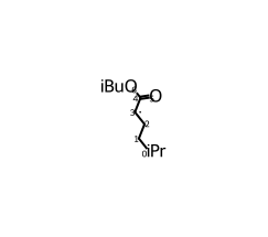 CC(C)CC[CH]C(=O)OCC(C)C